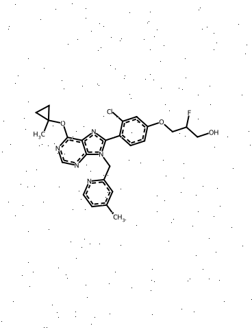 Cc1ccnc(Cn2c(-c3ccc(OCC(F)CO)cc3Cl)nc3c(OC4(C)CC4)ncnc32)c1